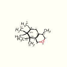 CC1COCC2=C1CC(C)C(C)(C)C2(C)C